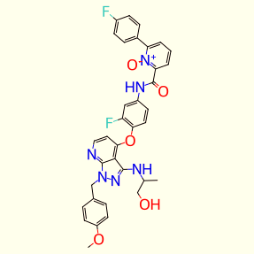 COc1ccc(Cn2nc(NC(C)CO)c3c(Oc4ccc(NC(=O)c5cccc(-c6ccc(F)cc6)[n+]5[O-])cc4F)ccnc32)cc1